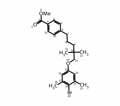 COC(=O)c1ccc(CCCC(C)(C)COc2cc(C)c(Br)c(C)c2)cc1